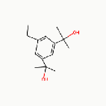 CCc1cc(C(C)(C)O)cc(C(C)(C)O)c1